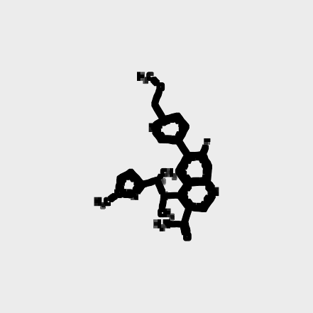 COCc1ccc(-c2cc3c(N(C)[C@@H](C)c4ccn(C)n4)c(C(N)=O)cnc3cc2F)cn1